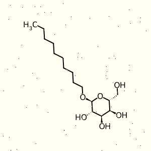 CCCCCCCCCCO[C@H]1O[C@H](CO)[C@@H](O)[C@@H](O)[C@@H]1O